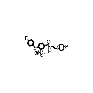 CN1CCN(CCNC(=O)c2ccc(Sc3ccc(F)cc3)c([N+](=O)[O-])c2)CC1